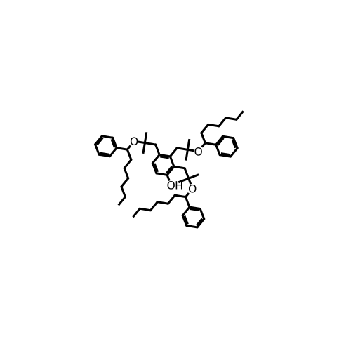 CCCCCCC(OC(C)(C)Cc1ccc(O)c(CC(C)(C)OC(CCCCCC)c2ccccc2)c1CC(C)(C)OC(CCCCCC)c1ccccc1)c1ccccc1